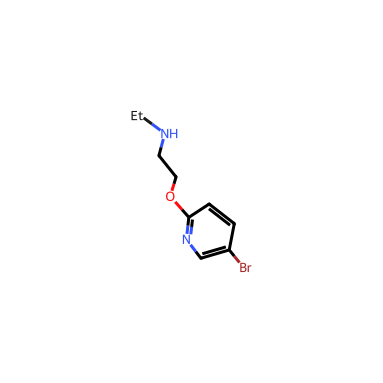 CCNCCOc1ccc(Br)cn1